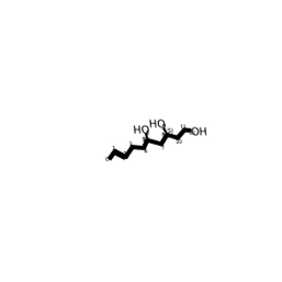 CC=CCC[C@@H](O)C[C@@H](O)CCO